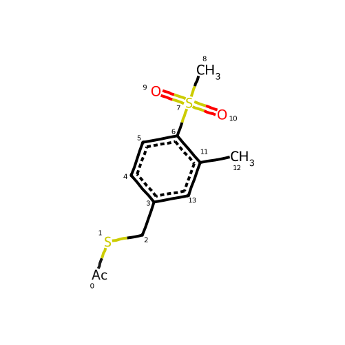 CC(=O)SCc1ccc(S(C)(=O)=O)c(C)c1